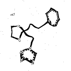 Cl.c1ccc(CCC2(Cn3cnnn3)OCCO2)cc1